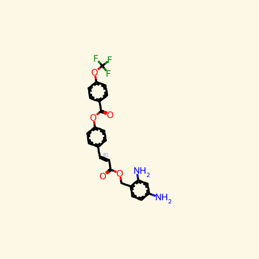 Nc1ccc(COC(=O)/C=C/c2ccc(OC(=O)c3ccc(OC(F)(F)F)cc3)cc2)c(N)c1